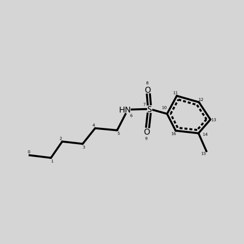 CCCCCCNS(=O)(=O)c1cccc(C)c1